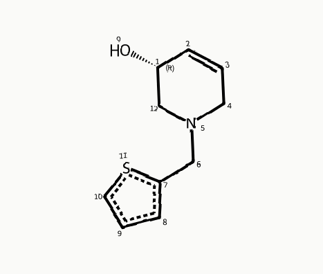 O[C@@H]1C=CCN(Cc2cccs2)C1